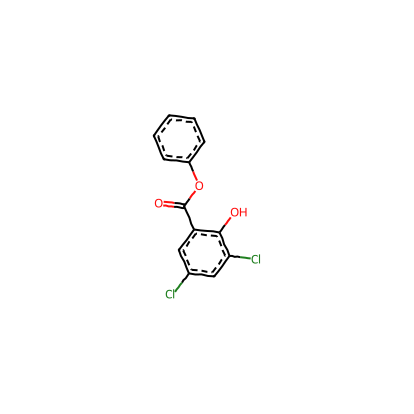 O=C(Oc1ccccc1)c1cc(Cl)cc(Cl)c1O